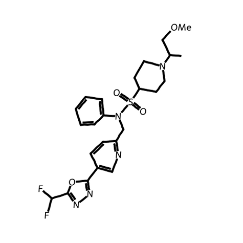 COCC(C)N1CCC(S(=O)(=O)N(Cc2ccc(-c3nnc(C(F)F)o3)cn2)c2ccccc2)CC1